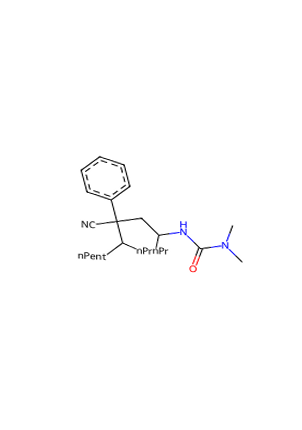 CCCCCC(CCC)C(C#N)(CC(CCC)NC(=O)N(C)C)c1ccccc1